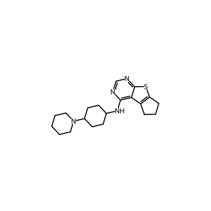 c1nc(NC2CCC(N3CCCCC3)CC2)c2c3c(sc2n1)CCC3